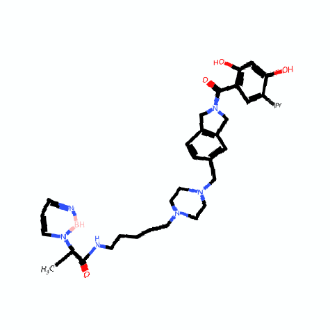 CC(C)c1cc(C(=O)N2Cc3ccc(CN4CCN(CCCCCNC(=O)C(C)N5BN=CC=C5)CC4)cc3C2)c(O)cc1O